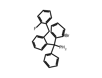 Br.Fc1ccccc1Cc1ccccc1C(P)(c1ccccc1)c1ccccc1